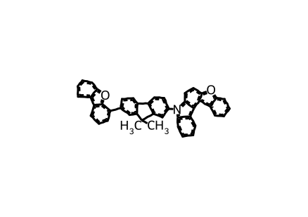 CC1(C)c2cc(-c3cccc4c3oc3ccccc34)ccc2-c2ccc(-n3c4ccccc4c4c5c(ccc43)oc3ccccc35)cc21